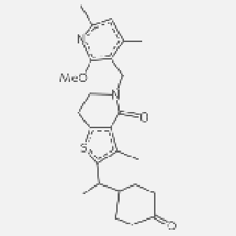 COc1nc(C)cc(C)c1CN1CCc2sc(C(C)C3CCC(=O)CC3)c(C)c2C1=O